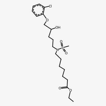 CCOC(=O)CCCCCCN(CCCC(O)COc1ccccc1Cl)S(C)(=O)=O